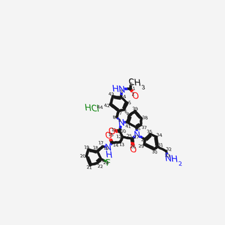 CC(=O)Nc1ccc(CN2C(=O)C(CC(=O)NCc3ccccc3F)C(=O)N(c3ccc(CN)cc3)c3ccccc32)cc1.Cl